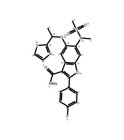 CNC(=O)c1c(-c2ccc(F)cc2)oc2cc(N(C)S(C)(=O)=O)c(OC(C)c3nccs3)cc12